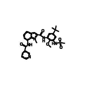 COc1c(NC(=O)c2cc3cccc(NC(=O)c4cccnc4)c3n2C)cc(C(C)(C)C)cc1NS(C)(=O)=O